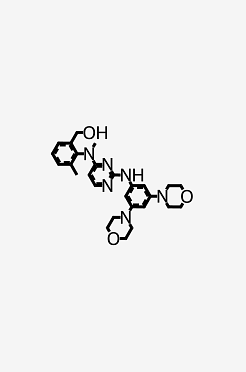 Cc1cccc(CO)c1N(C)c1ccnc(Nc2cc(N3CCOCC3)cc(N3CCOCC3)c2)n1